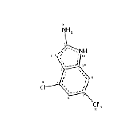 Nc1nc2c(Cl)cc(C(F)(F)F)cc2[nH]1